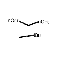 CCC(C)C.CCCCCCCCCCCCCCCCC